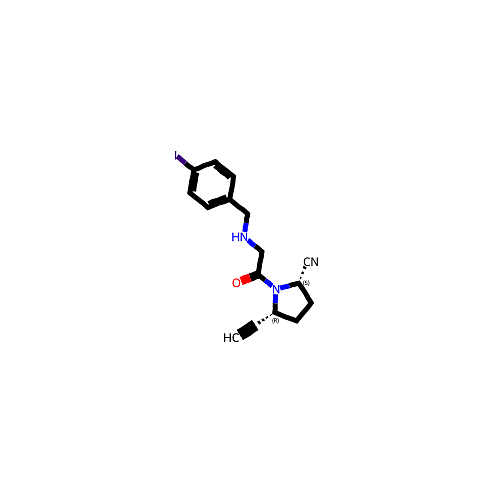 C#C[C@H]1CC[C@@H](C#N)N1C(=O)CNCc1ccc(I)cc1